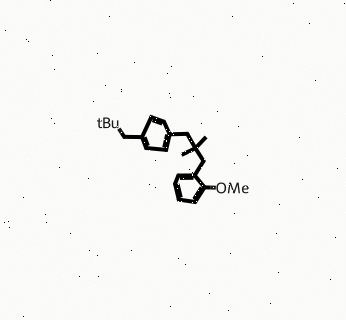 COc1ccccc1CC(C)(C)Cc1ccc(CC(C)(C)C)cc1